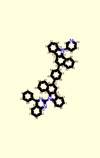 c1ccc(-c2nc(-n3c4ccccc4c4cc(-c5ccc(-c6cc7c8ccccc8n(-c8cccnc8)c7c7ccccc67)cc5)c5ccccc5c43)nc3ccccc23)cc1